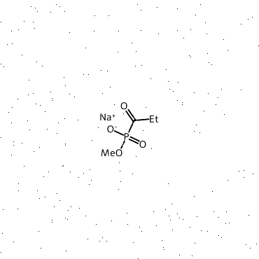 CCC(=O)P(=O)([O-])OC.[Na+]